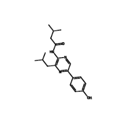 CC(C)CC(=O)Nc1ncc(-c2ccc(O)cc2)nc1CC(C)C